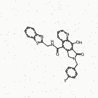 O=C(NCc1nc2ccccc2s1)c1c2c(c(O)c3ncccc13)C(=O)N(Cc1ccc(F)cc1)C2